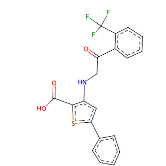 O=C(CNc1cc(-c2ccccc2)sc1C(=O)O)c1ccccc1C(F)(F)F